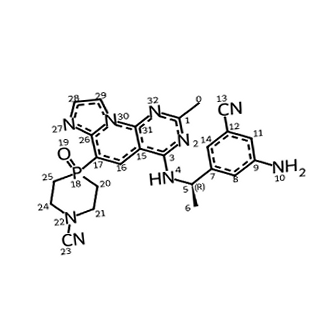 Cc1nc(N[C@H](C)c2cc(N)cc(C#N)c2)c2cc(P3(=O)CCN(C#N)CC3)c3nccn3c2n1